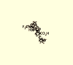 Cc1ccc(SCC2=C(C(=O)O)N3C(=O)[C@@H](NC(=O)C(NC(=O)NCC(F)(F)F)c4cccs4)C3SC2)n[n+]1[O-]